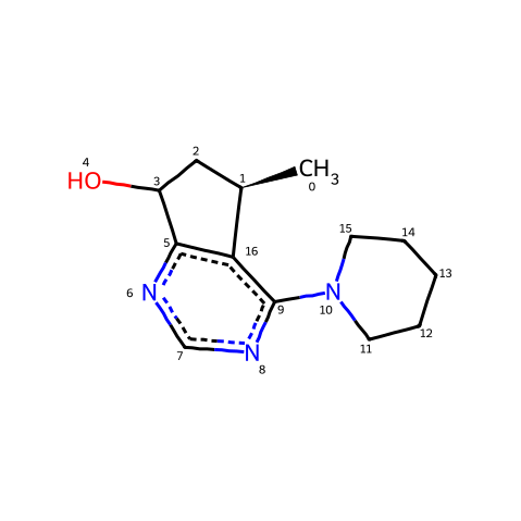 C[C@@H]1CC(O)c2ncnc(N3CCCCC3)c21